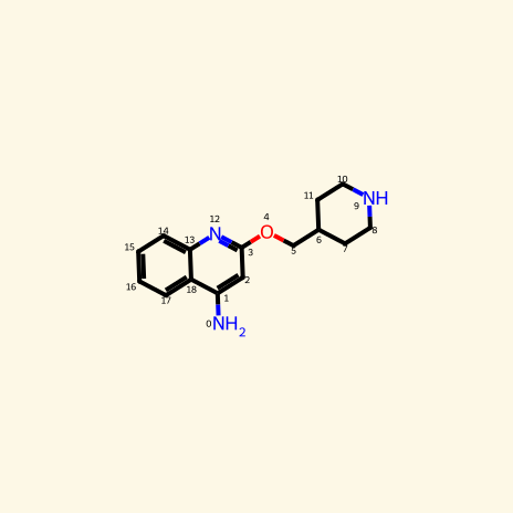 Nc1cc(OCC2CCNCC2)nc2ccccc12